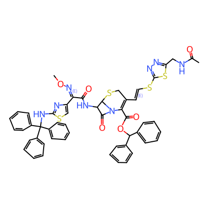 CO/N=C(/C(=O)NC1C(=O)N2C(C(=O)OC(c3ccccc3)c3ccccc3)=C(/C=C/Sc3nnc(CNC(C)=O)s3)CSC12)c1csc(NC(c2ccccc2)(c2ccccc2)c2ccccc2)n1